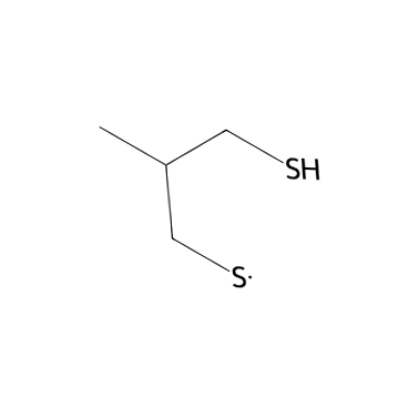 CC(C[S])CS